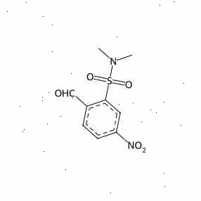 CN(C)S(=O)(=O)c1cc([N+](=O)[O-])ccc1C=O